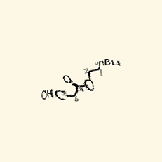 CCCCCCOC(=O)CC=O